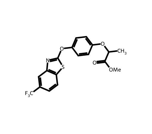 COC(=O)C(C)Oc1ccc(Oc2nc3cc(C(F)(F)F)ccc3s2)cc1